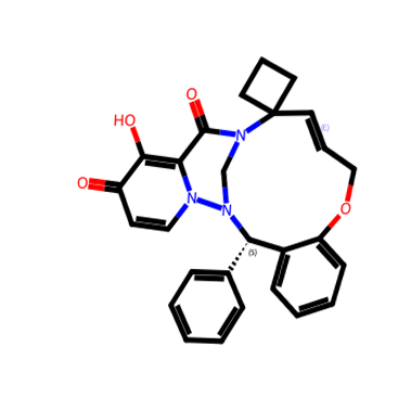 O=C1c2c(O)c(=O)ccn2N2CN1C1(/C=C/COc3ccccc3[C@@H]2c2ccccc2)CCC1